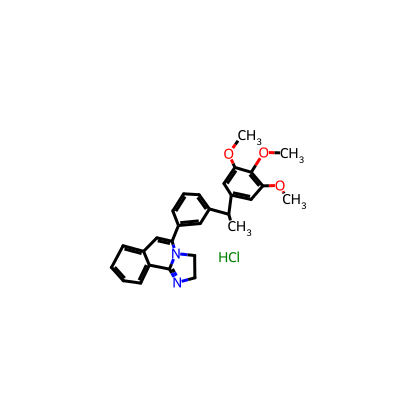 COc1cc(C(C)c2cccc(C3=Cc4ccccc4C4=NCCN34)c2)cc(OC)c1OC.Cl